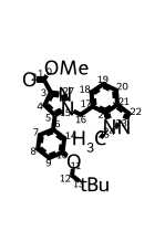 COC(=O)c1cc(-c2cccc(OCC(C)(C)C)c2)n(Cc2cccc3cnn(C)c23)n1